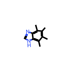 Cc1c(C)c(C)c2[nH]cnc2c1C